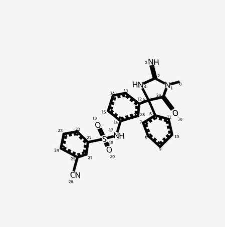 CN1C(=N)NC(c2ccccc2)(c2cccc(NS(=O)(=O)c3cccc(C#N)c3)c2)C1=O